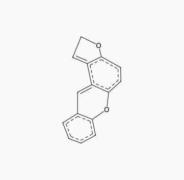 C1=c2c(ccc3c2=Cc2ccccc2O3)OC1